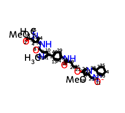 COC(=O)c1cc(NC(=O)c2cc(-c3ccc(NC(=O)CCCOc4cn5c(c4OC)C=[N+]([O-])C4=CCCCC4C5)cc3)cn2C)cn1C